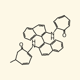 CC1C=CC=C(Nc2ccc3ccccc3c2-c2c(Nc3cccccc3=O)ccc3ccccc23)C(=O)C1